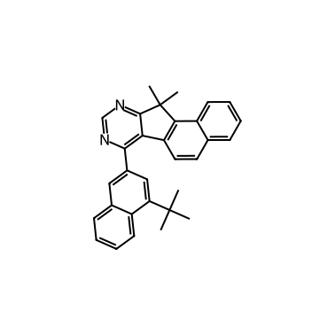 CC(C)(C)c1cc(-c2ncnc3c2-c2ccc4ccccc4c2C3(C)C)cc2ccccc12